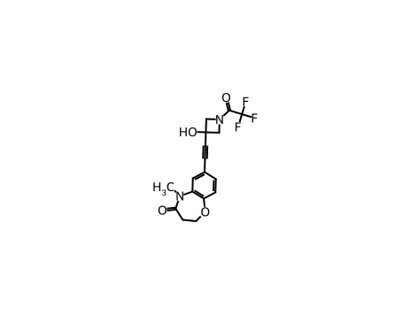 CN1C(=O)CCOc2ccc(C#CC3(O)CN(C(=O)C(F)(F)F)C3)cc21